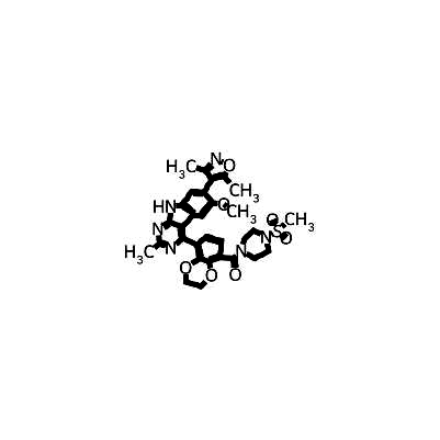 COc1cc2c(cc1-c1c(C)noc1C)[nH]c1nc(C)nc(-c3ccc(C(=O)N4CCN(S(C)(=O)=O)CC4)c4c3OCCO4)c12